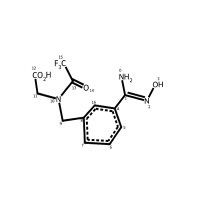 N/C(=N\O)c1cccc(CN(CC(=O)O)C(=O)C(F)(F)F)c1